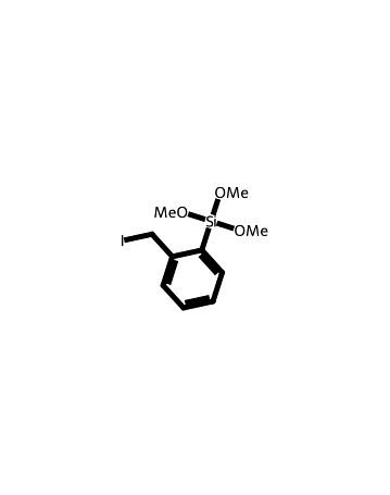 CO[Si](OC)(OC)c1ccccc1CI